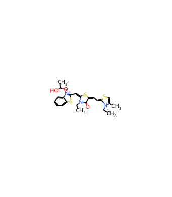 CCN1C(C)=CS/C1=C\C=c1s/c(=C/c2sc3ccccc3[n+]2OC(C)O)n(CC)c1=O